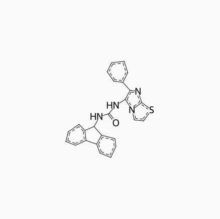 O=C(Nc1c(-c2ccccc2)nc2sccn12)NC1c2ccccc2-c2ccccc21